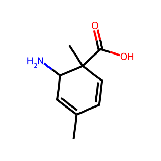 CC1=CC(N)C(C)(C(=O)O)C=C1